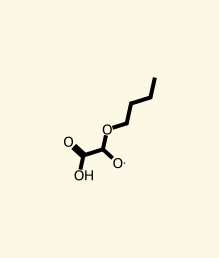 CCCCOC([O])C(=O)O